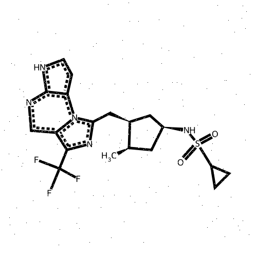 C[C@@H]1C[C@H](NS(=O)(=O)C2CC2)C[C@@H]1Cc1nc(C(F)(F)F)c2cnc3[nH]ccc3n12